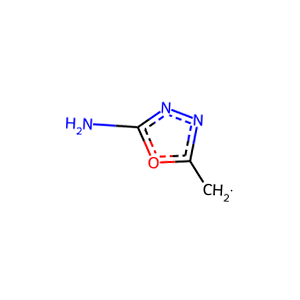 [CH2]c1nnc(N)o1